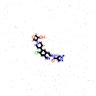 Cn1cc(C(=O)Nc2cc3cc(C4CCN([C@@H]5COC[C@@H]5O)CC4)c(Cl)cc3cn2)cn1